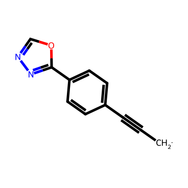 [CH2]C#Cc1ccc(-c2nnco2)cc1